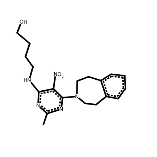 Cc1nc(NCCCCO)c([N+](=O)[O-])c(N2CCc3ccccc3CC2)n1